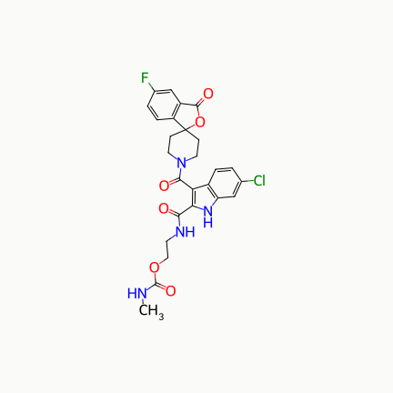 CNC(=O)OCCNC(=O)c1[nH]c2cc(Cl)ccc2c1C(=O)N1CCC2(CC1)OC(=O)c1cc(F)ccc12